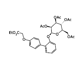 CCOC(=O)COc1ccc(-c2ccccc2O[C@@H]2O[C@H](COC(C)=O)[C@@H](OC(C)=O)[C@H](OC(C)=O)[C@@H]2OC(C)=O)cc1